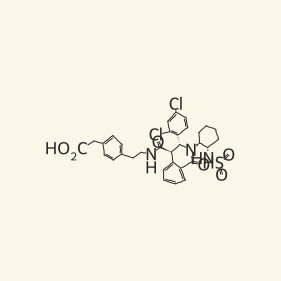 O=C(O)Cc1ccc(CCNC(=O)[C@@H]2c3ccccc3C(=O)N([C@H]3CCCC[C@@H]3N[SH](=O)=O)[C@H]2c2ccc(Cl)cc2Cl)cc1